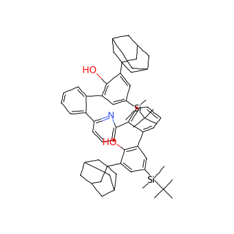 CC(C)(C)[Si](C)(C)c1cc(-c2ccccc2-c2cccc(-c3ccccc3-c3cc([Si](C)(C)C(C)(C)C)cc(C45CC6CC(CC(C6)C4)C5)c3O)n2)c(O)c(C23CC4CC(CC(C4)C2)C3)c1